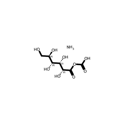 N.O=C(O)OC(=O)[C@H](O)[C@@H](O)[C@H](O)[C@H](O)CO